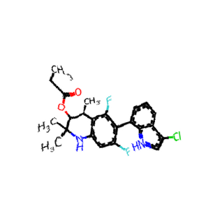 CCC(=O)OC1[C@@H](C)c2c(cc(F)c(-c3cccc4c(Cl)c[nH]c34)c2F)NC1(C)C